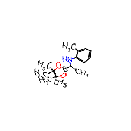 Cc1ccccc1NC(C)B1OC(C)(C)C(C)(C)O1